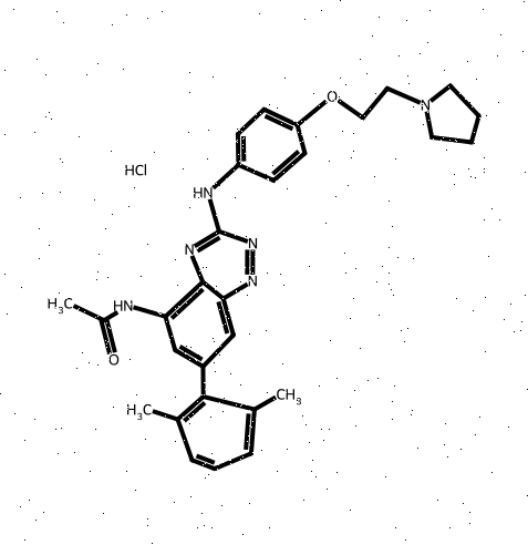 CC(=O)Nc1cc(-c2c(C)cccc2C)cc2nnc(Nc3ccc(OCCN4CCCC4)cc3)nc12.Cl